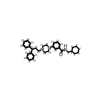 O=C(NCC1CCCCC1)c1cccc(N2CCN(CCC(c3ccccc3)c3ccccc3)CC2)c1